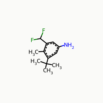 Cc1c(C(F)F)cc(N)cc1C(C)(C)C